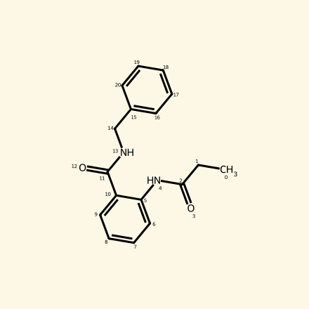 CCC(=O)Nc1ccccc1C(=O)NCc1ccccc1